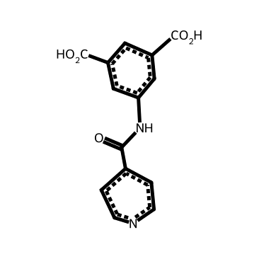 O=C(O)c1cc(NC(=O)c2ccncc2)cc(C(=O)O)c1